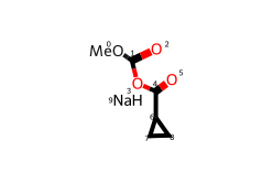 COC(=O)OC(=O)C1CC1.[NaH]